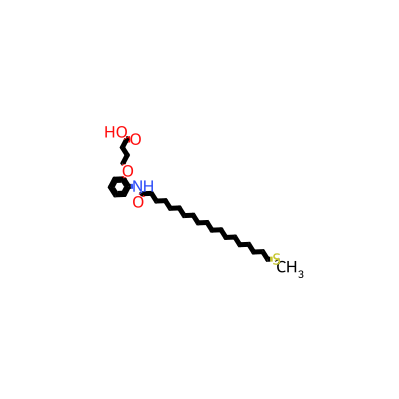 CSCCCCCCCCCCCCCCCCCCC(=O)Nc1ccccc1OCCCC(=O)O